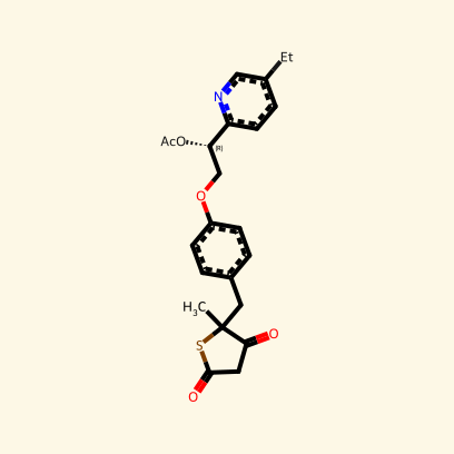 CCc1ccc([C@H](COc2ccc(CC3(C)SC(=O)CC3=O)cc2)OC(C)=O)nc1